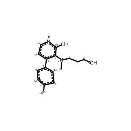 CN(CCCO)c1c(-c2ccc(F)cc2)ccnc1Cl